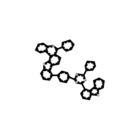 c1ccc(-c2nc(-c3ccc(-c4cccc5sc6c(ccc7c(-c8ccccc8)nc8ccccc8c76)c45)cc3)nc(-c3cccc4oc5ccccc5c34)n2)cc1